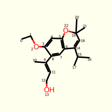 CCOc1cc2c(cc1C(C)=CCO)C(C(C)C)=CC(C)(C)O2